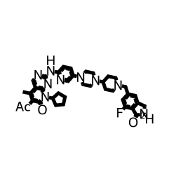 [2H]N1Cc2cc(CN3CCC(N4CCN(c5ccc(Nc6ncc7c(C)c(C(C)=O)c(=O)n(C8CCCC8)c7n6)nc5)CC4)CC3)cc(F)c2C1=O